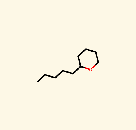 CCCCCC1C[CH]CCO1